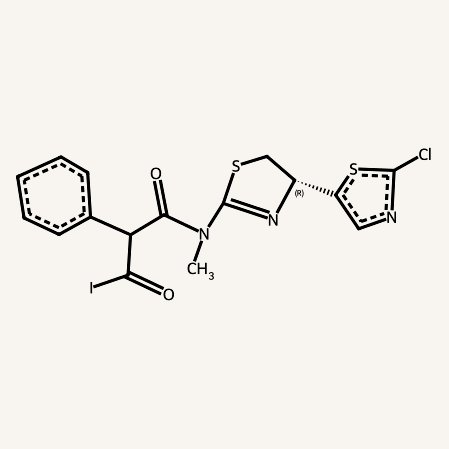 CN(C(=O)C(C(=O)I)c1ccccc1)C1=N[C@@H](c2cnc(Cl)s2)CS1